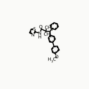 COc1ccc(-c2ccc(C(c3ccccc3)C(C)(C)C(=O)Nc3nccs3)cc2)cc1